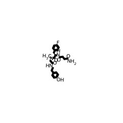 CN(CC(=O)NCCc1ccc(O)cc1)C(=O)[C@@H](Cc1ccc(F)cc1)NC(=O)CCC(N)=O